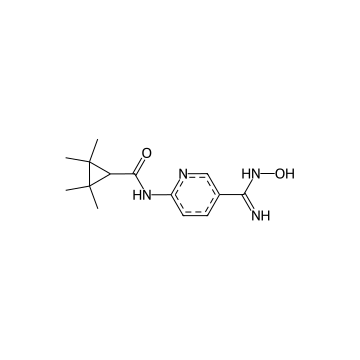 CC1(C)C(C(=O)Nc2ccc(C(=N)NO)cn2)C1(C)C